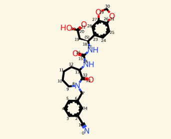 N#Cc1cccc(CN2CCCCC(NC(=O)N[C@@H](CC(=O)O)c3ccc4c(c3)OCO4)C2=O)c1